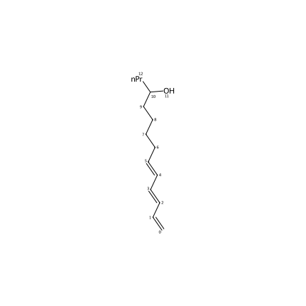 C=CC=CC=CCCCCC(O)CCC